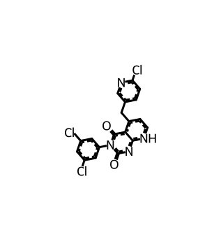 O=c1nc2[nH]ccc(Cc3ccc(Cl)nc3)c-2c(=O)n1-c1cc(Cl)cc(Cl)c1